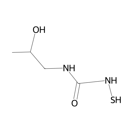 CC(O)CNC(=O)NS